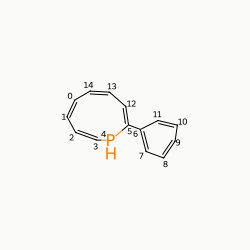 c1ccc[pH]c(-c2ccccc2)ccc1